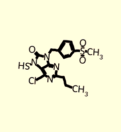 CCCc1nc(Cl)c2c(n1)n(Cc1ccc(S(C)(=O)=O)cc1)c(=O)n2S